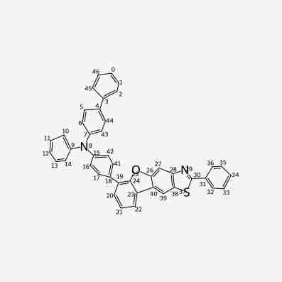 c1ccc(-c2ccc(N(c3ccccc3)c3ccc(-c4cccc5c4oc4cc6nc(-c7ccccc7)sc6cc45)cc3)cc2)cc1